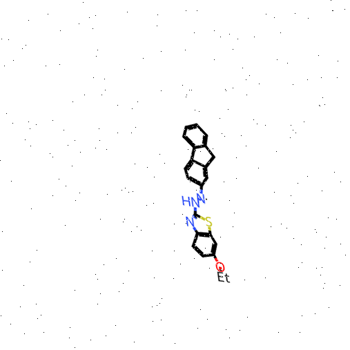 CCOc1ccc2nc(N[N]c3ccc4c(c3)Cc3ccccc3-4)sc2c1